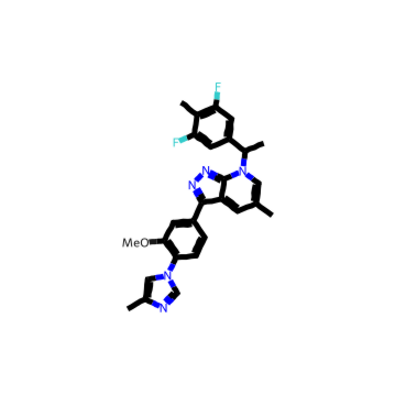 COc1cc(-c2nnc3n(C(C)c4cc(F)c(C)c(F)c4)cc(C)cc2-3)ccc1-n1cnc(C)c1